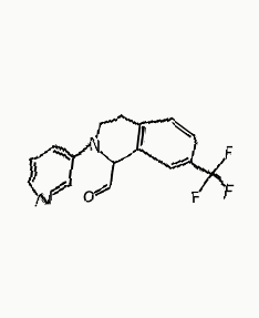 O=CC1c2cc(C(F)(F)F)ccc2CCN1c1cccnc1